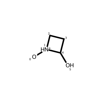 [O-][NH+]1CCC1O